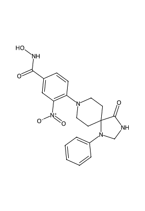 O=C(NO)c1ccc(N2CCC3(CC2)C(=O)NCN3c2ccccc2)c([N+](=O)[O-])c1